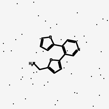 NCc1ccc(-c2cnccc2-c2ccco2)o1